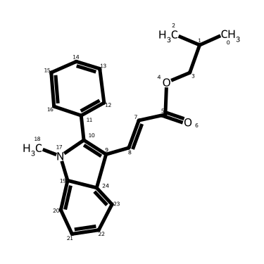 CC(C)COC(=O)/C=C/c1c(-c2ccccc2)n(C)c2ccccc12